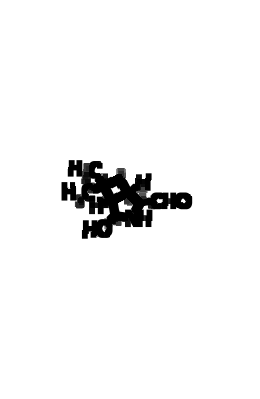 CC1(C)C[C@@H]2[C@@H](C=O)NC(O)[C@@H]21